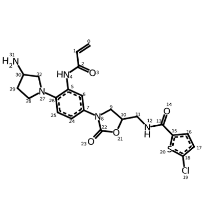 C=CC(=O)Nc1cc(N2CC(CNC(=O)c3ccc(Cl)s3)OC2=O)ccc1N1CCC(N)C1